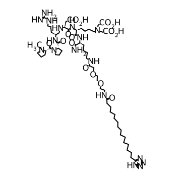 CN1CCC[C@H]1C(=O)N1CCC[C@H]1C(=O)N[C@@H](CCCNC(=N)N)CN[C@@H](CC(=O)O)C(=O)N[C@@H](CCCCN(CC(=O)O)CC(=O)O)C(=O)N[C@@H](CCCCNC(=O)COCCOCCNC(=O)CCCCCCCCCCCCCCCc1nnn[nH]1)C(N)=O